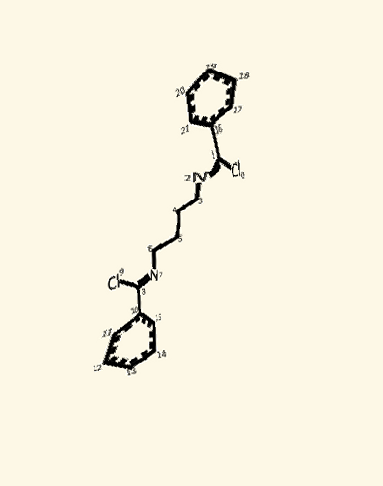 ClC(=NCCCCN=C(Cl)c1ccccc1)c1ccccc1